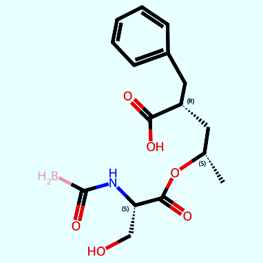 BC(=O)N[C@@H](CO)C(=O)O[C@@H](C)C[C@@H](Cc1ccccc1)C(=O)O